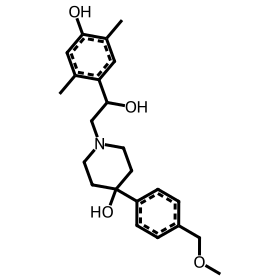 COCc1ccc(C2(O)CCN(CC(O)c3cc(C)c(O)cc3C)CC2)cc1